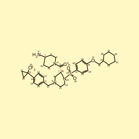 NC1CCN(C(=O)[C@H]2CN(Cc3ccc(C4(C(F)(F)F)CC4)cc3)CCN2S(=O)(=O)c2ccc(OCC3CCCCC3)cc2)CC1